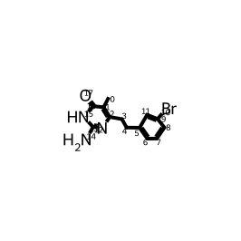 Cc1c(CCc2cccc(Br)c2)nc(N)[nH]c1=O